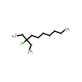 CCCCCCCC(Cl)(CC)CC